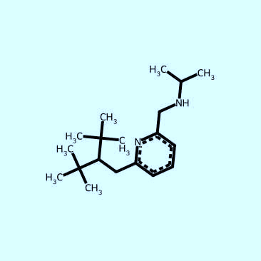 CC(C)NCc1cccc(CC(C(C)(C)C)C(C)(C)C)n1